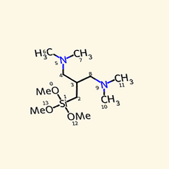 CO[Si](CC(CN(C)C)CN(C)C)(OC)OC